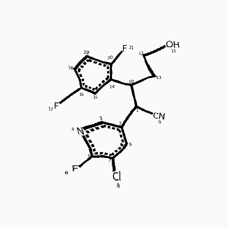 N#CC(c1cnc(F)c(Cl)c1)C(CCO)c1cc(F)ccc1F